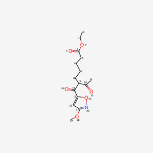 CCOC(=O)CCCCC(C(C)=O)C(=O)c1cc(OC)no1